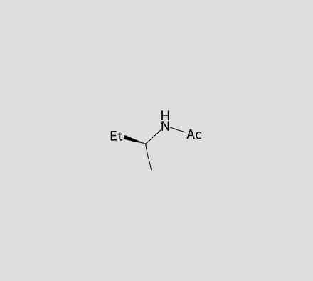 CC[C@H](C)NC(C)=O